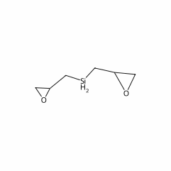 C1OC1C[SiH2]CC1CO1